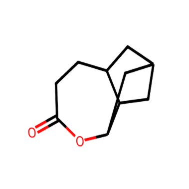 O=C1CCC2CC3CC(O1)C2C3